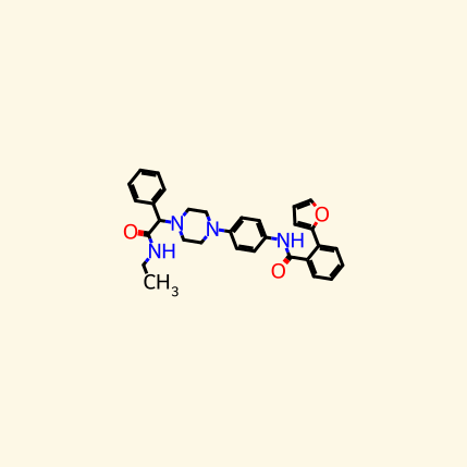 CCNC(=O)C(c1ccccc1)N1CCN(c2ccc(NC(=O)c3ccccc3-c3ccco3)cc2)CC1